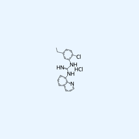 CCc1ccc(Cl)c(NC(=N)Nc2cccc3cccnc23)c1.Cl